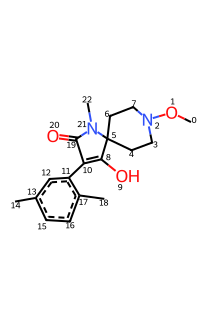 CON1CCC2(CC1)C(O)=C(c1cc(C)ccc1C)C(=O)N2C